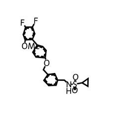 COc1cc(F)c(F)cc1-c1ccc(OCc2cccc(CNS(=O)(=O)C3CC3)c2)cc1